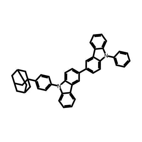 c1ccc(-n2c3ccccc3c3cc(-c4ccc5c(c4)c4ccccc4n5-c4ccc(C56CC7CC(CC(C7)C5)C6)cc4)ccc32)cc1